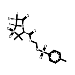 Cc1ccc(S(=O)(=O)OCOC(=O)[C@@H]2N3C(=O)[C@@](Br)(I)[C@H]3S(=O)(=O)C2(C)C)cc1